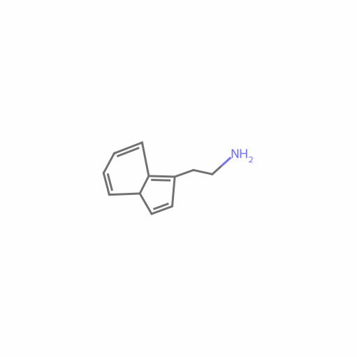 NCCC1=C2C=CC=CC2C=C1